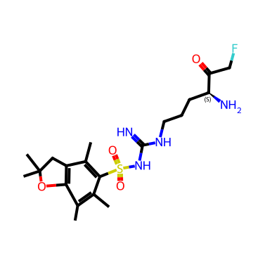 Cc1c(C)c(S(=O)(=O)NC(=N)NCCC[C@H](N)C(=O)CF)c(C)c2c1OC(C)(C)C2